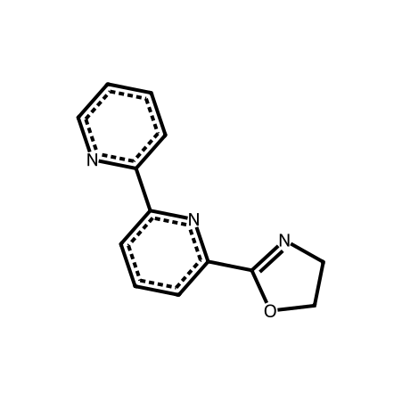 c1ccc(-c2cccc(C3=NCCO3)n2)nc1